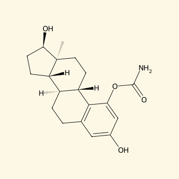 C[C@]12CC[C@@H]3c4c(cc(O)cc4OC(N)=O)CC[C@H]3[C@@H]1CC[C@H]2O